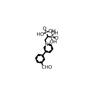 O=Cc1cccc(-c2ccc[n+](CC(P(=O)(O)O)P(=O)(O)O)c2)c1